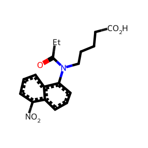 CCC(=O)N(CCCCC(=O)O)c1cccc2c([N+](=O)[O-])cccc12